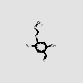 COCOc1cc(O)c(C=O)cc1C